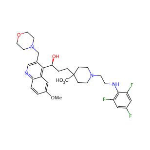 COc1ccc2ncc(CN3CCOCC3)c([C@@H](O)CCC3(C(=O)O)CCN(CCNc4c(F)cc(F)cc4F)CC3)c2c1